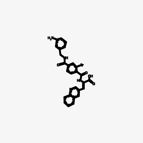 Nc1cccc(CNC(=O)c2ccc(C(=O)N/C(=C\c3cnc4ccccc4c3)C(=O)O)c(Br)c2)c1